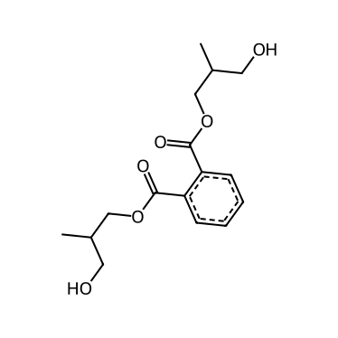 CC(CO)COC(=O)c1ccccc1C(=O)OCC(C)CO